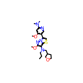 CCCN(CC1CCOC1)c1c(OC)nn2c(-c3cnc(N(C)C)cc3OC)csc12